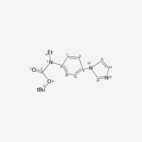 CCN(C(=O)OC(C)(C)C)c1ccc(-n2ccnc2)cc1